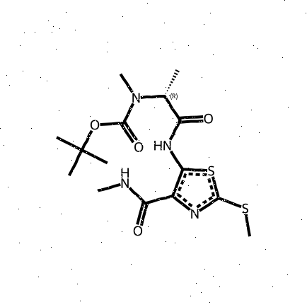 CNC(=O)c1nc(SC)sc1NC(=O)[C@@H](C)N(C)C(=O)OC(C)(C)C